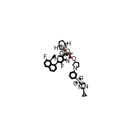 C#Cc1c(F)ccc2cccc(-c3ncc4c(N5C[C@H]6CC[C@@H](C5)N6C(=O)OC(C)(C)C)nc(O[C@H]5CCN(c6cccc(S(=O)(=O)n7cnc(C8CC8)n7)c6)C5)nc4c3F)c12